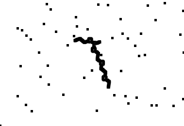 CCCOP(C)OCCOCCOCC